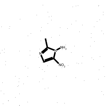 Cc1ncc([N+](=O)[O-])n1N